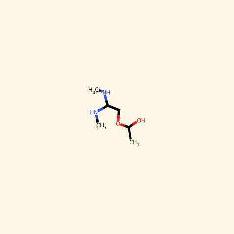 CNC(COC(C)O)NC